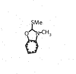 CSC1Oc2ccccc2N1C